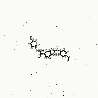 CCc1ccc(Nc2nc3cc(C(=O)NCc4ccc(F)cc4)ccc3[nH]2)cc1